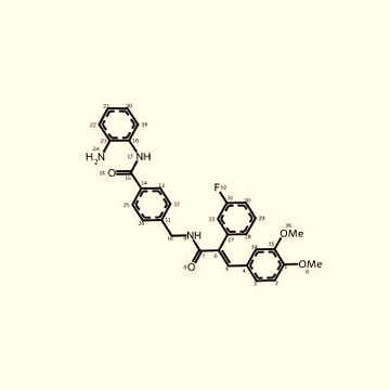 COc1ccc(C=C(C(=O)NCc2ccc(C(=O)Nc3ccccc3N)cc2)c2cccc(F)c2)cc1OC